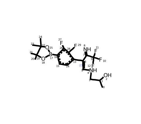 CC(O)CN/C=C(\C(=N)C(F)(F)F)c1ccc(B2OC(C)(C)C(C)(C)O2)c(F)c1F